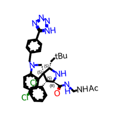 CC(=O)NCNC(=O)[C@@H]1N[C@@H](CC(C)(C)C)[C@@]2(CN(Cc3ccc(-c4nnn[nH]4)cc3)c3ccc(Cl)cc32)[C@H]1c1ccccc1Cl